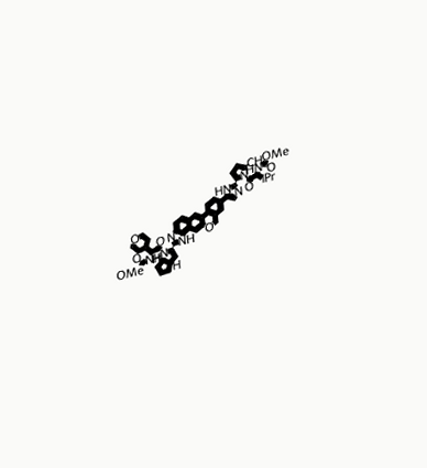 COC(=O)NC(C(=O)N1[C@@H](C)CC[C@H]1c1ncc(-c2ccc3c(c2)COc2cc4c(ccc5nc([C@@H]6C[C@@H]7CCC[C@@H]7N6C(=O)[C@@H](NC(=O)OC)C6CCOCC6)[nH]c54)cc2-3)[nH]1)C(C)C